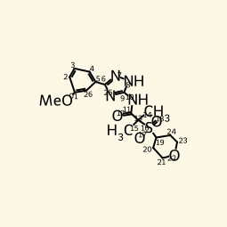 COc1cccc(-c2n[nH]c(NC(=O)C(C)(C)S(=O)(=O)C3CCOCC3)n2)c1